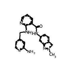 Cn1cc2ccc(NC(=O)c3cccnc3NCc3ccnc(N)c3)cc2n1